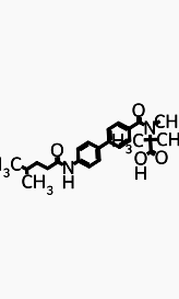 CC(C)CCC(=O)Nc1ccc(-c2ccc(C(=O)N(C)C(C)(C)C(=O)O)cc2)cc1